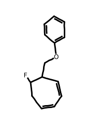 FC1CC=CC=CC1COc1ccccc1